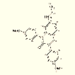 COc1ccc(-n2c(=O)c(-c3ccc(OC)cn3)cc3cnc(NCC(F)(F)F)nc32)cc1